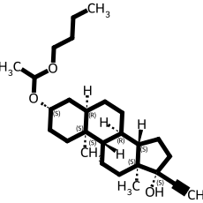 C#C[C@]1(O)CC[C@H]2[C@@H]3CC[C@@H]4C[C@@H](OC(C)OCCCC)CC[C@]4(C)[C@H]3CC[C@@]21C